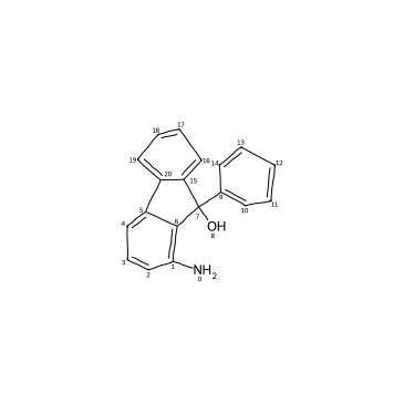 Nc1cccc2c1C(O)(c1ccccc1)c1ccccc1-2